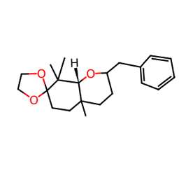 CC12CCC(Cc3ccccc3)O[C@H]1C(C)(C)C1(CC2)OCCO1